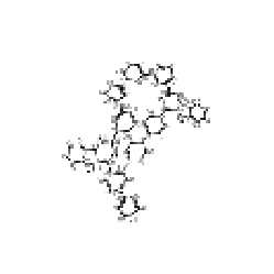 c1ccc(-c2ccc(-c3nc(-c4cccc(-c5cccc(-c6cccc(-c7cccc(-c8nc(-c9ccc(-c%10ccccc%10)cc9)c9oc%10ccccc%10c9n8)c7)c6)c5)c4)nc4c3oc3ccccc34)cc2)cc1